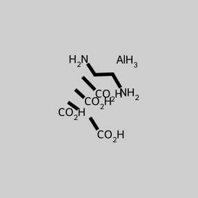 CC(=O)O.CC(=O)O.CC(=O)O.CC(=O)O.NCCN.[AlH3]